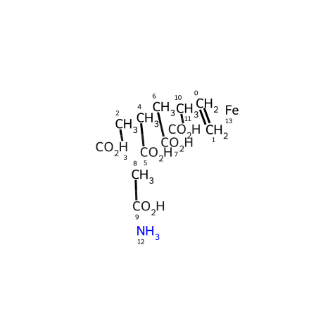 C=C.CC(=O)O.CC(=O)O.CC(=O)O.CC(=O)O.CC(=O)O.N.[Fe]